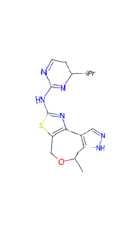 CC1OCc2sc(NC3=NC(C(C)C)CC=N3)nc2-c2cn[nH]c21